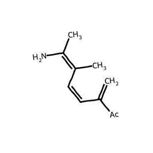 C=C(/C=C\C(C)=C(\C)N)C(C)=O